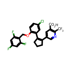 O=C(O)c1cc(C2=C(c3cc(Cl)ccc3OCc3c(F)cc(F)cc3F)CCC2)cnc1C(F)(F)F